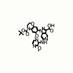 COc1cc2c(cc1-n1nc(C(=O)O)c3cnc(Nc4nccnc4OC)cc31)OCCN2C(=O)OC(C)(C)C